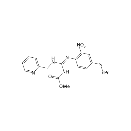 CCCSc1ccc(/N=C(/NCc2ccccn2)NC(=O)OC)c([N+](=O)[O-])c1